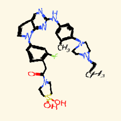 CCN1CCN(c2ccc(Nc3ncc4ccn(-c5ccc(CC(=O)N6CCS(O)(O)CC6)c(F)c5)c4n3)cc2C)CC1